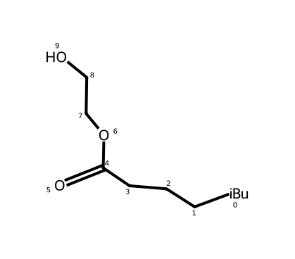 CCC(C)CCCC(=O)OCCO